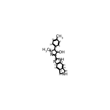 Cc1ccc(C2C(O)C(c3nc4cc5c(cc4[nH]3)CNC5)=NN2C)cc1